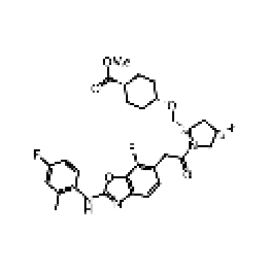 COC(=O)[C@H]1CC[C@H](OC[C@@H]2C[C@H](F)CN2C(=O)Cc2ccc3nc(Nc4ccc(F)cc4C)oc3c2F)CC1